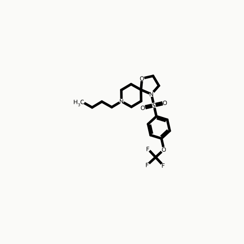 CCCCN1CCC2(CC1)OCCN2S(=O)(=O)c1ccc(OC(F)(F)F)cc1